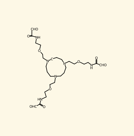 O=CC(=O)NCCOCCN1CCCN(CCOCCNC(=O)C=O)CCCN(CCOCCNC(=O)C=O)CCC1